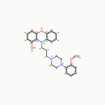 COc1ccccc1N1CCN(CCCN2c3ccccc3Oc3cccc(O)c32)CC1